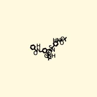 CC(C)OC(=O)Nc1ccc(-c2ncc(-c3ccc(CNC(=O)c4ccccc4)cc3S(=O)(=O)NC(C)(C)C)s2)cc1